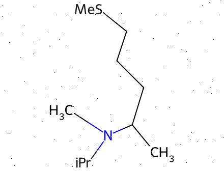 CSCCCC(C)N(C)C(C)C